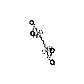 O=C(CCN(Cc1ccccc1)Cc1ccccc1)NCCCCCCNC(=O)CCN(Cc1ccccc1)Cc1ccccc1